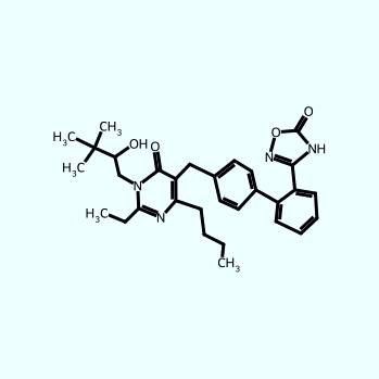 CCCCc1nc(CC)n(CC(O)C(C)(C)C)c(=O)c1Cc1ccc(-c2ccccc2-c2noc(=O)[nH]2)cc1